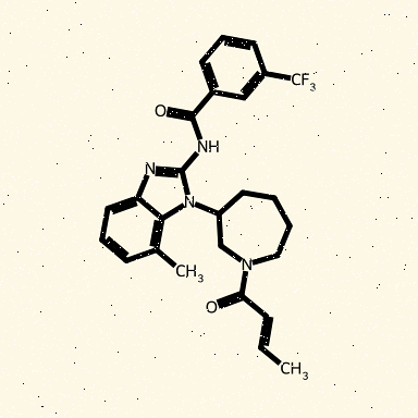 CC=CC(=O)N1CCCCC(n2c(NC(=O)c3cccc(C(F)(F)F)c3)nc3cccc(C)c32)C1